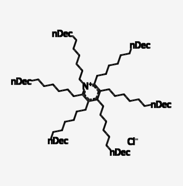 CCCCCCCCCCCCCCCCc1c(CCCCCCCCCCCCCCCC)c(CCCCCCCCCCCCCCCC)[n+](CCCCCCCCCCCCCCCC)c(CCCCCCCCCCCCCCCC)c1CCCCCCCCCCCCCCCC.[Cl-]